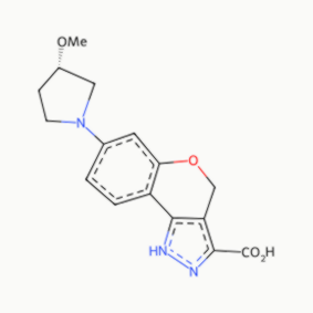 CO[C@H]1CCN(c2ccc3c(c2)OCc2c(C(=O)O)n[nH]c2-3)C1